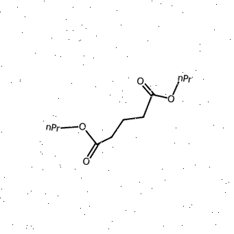 CCCOC(=O)CCCC(=O)OCCC